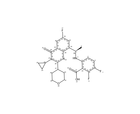 C[C@@H](Nc1ccc(F)c(F)c1C(=O)O)c1cc(F)cc2c(=O)n(C3CC3)c(C3CCOCC3)nc12